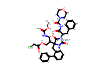 CCCCCC(=O)NC(Cc1ccccc1-c1ccccc1)(C(=O)NC(Cc1ccccc1)C(=O)NC(=O)N1CCOCC1)C(CNC(=O)OC(C)(C)C)COC(=O)CCl